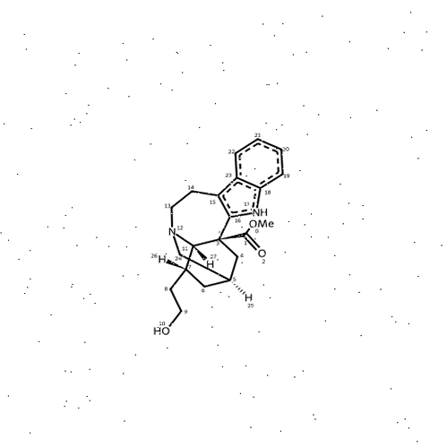 COC(=O)[C@@]12C[C@H]3C[C@H](CCO)[C@@H]1N(CCc1c2[nH]c2ccccc12)C3